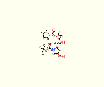 CC(C)(C)OC(=O)N1CCCC1.CC(C)(C)OC(=O)N1C[C@H](O)C[C@H]1CO